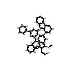 C=Nc1c(/C=C\C)n(-c2ccccc2)c2ccc(-c3cccc4c5ccccc5n(-c5cc(-c6ccccc6)nc(-c6ccccc6)c5)c34)cc12